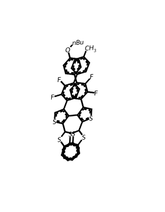 CCCCOc1ccc(-c2ccc(-c3csc(C4Sc5ccccc5S4)c3-c3c(-c4ccc(-c5ccc(C)cc5)c(F)c4F)csc3C3Sc4ccccc4S3)c(F)c2F)cc1